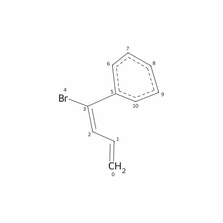 C=C/C=C(/Br)c1ccccc1